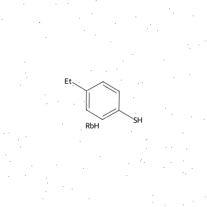 CCc1ccc(S)cc1.[RbH]